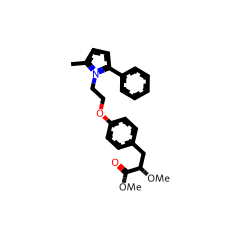 COC(=O)C(Cc1ccc(OCCn2c(C)ccc2-c2ccccc2)cc1)OC